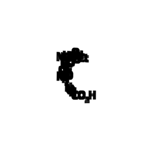 CCN(C)S(=O)(=O)Nc1ccc(F)c(Oc2ccc3ncn(CCN4CCN(C(=O)O)CC4)c(=O)c3c2)c1C#N